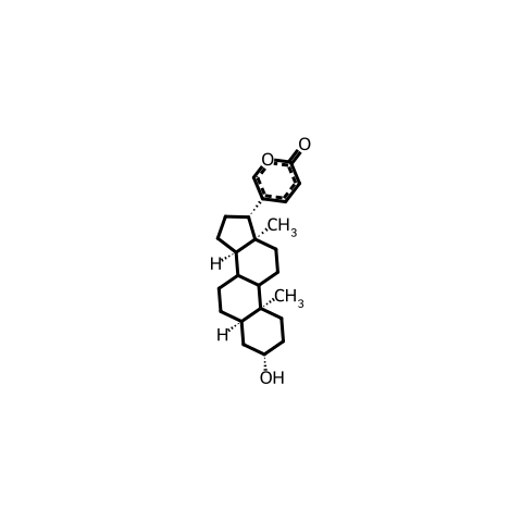 C[C@]12CCC3C(CC[C@@H]4C[C@@H](O)CC[C@]34C)[C@H]1CC[C@@H]2c1ccc(=O)oc1